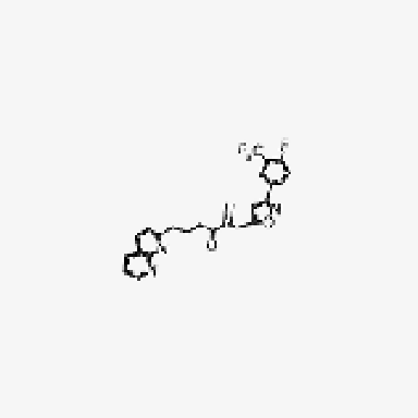 O=C(CCCc1ccc2cccnc2n1)NCc1cc(-c2ccc(F)c(C(F)(F)F)c2)no1